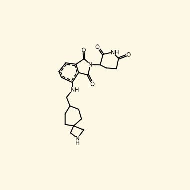 O=C1CCC(N2C(=O)c3cccc(NCC4CCC5(CC4)CNC5)c3C2=O)C(=O)N1